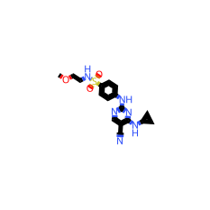 COCCNS(=O)(=O)c1ccc(Nc2ncc(C#N)c(NC3CC3)n2)cc1